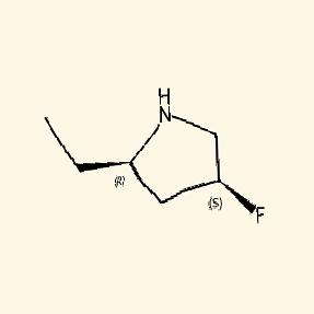 CC[C@@H]1C[C@H](F)CN1